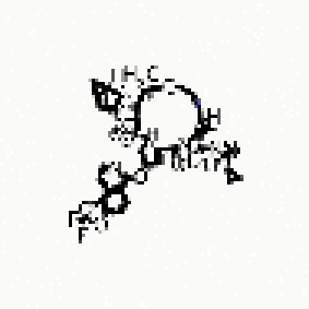 C[C@@H]1CC/C=C\[C@@H]2C[C@@]2(C(=O)NS(=O)(=O)C2CC2)NC(=O)[C@@H]2C[C@@H](Oc3nccc4c5c(ccc34)OC(F)(F)O5)CN2C(=O)[C@@H](N(C(=O)O)[C@H]2CC3C[C@H]3C2)[C@H](C)C1